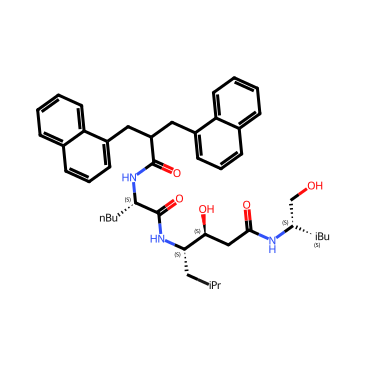 CCCC[C@H](NC(=O)C(Cc1cccc2ccccc12)Cc1cccc2ccccc12)C(=O)N[C@@H](CC(C)C)[C@@H](O)CC(=O)N[C@H](CO)[C@@H](C)CC